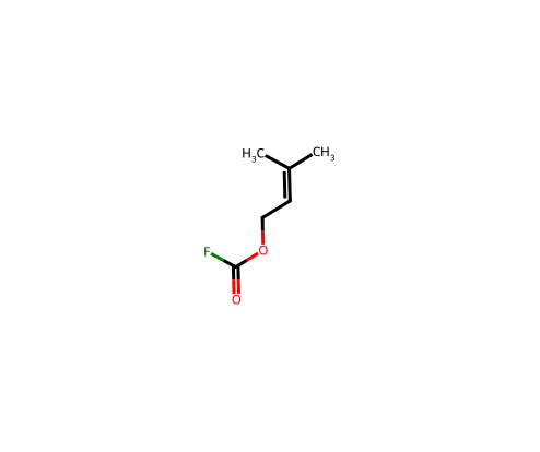 CC(C)=CCOC(=O)F